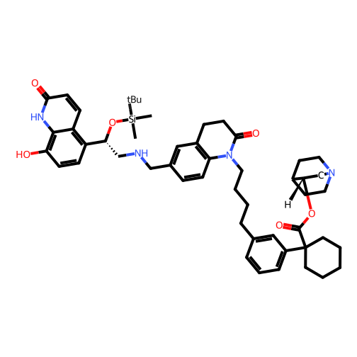 CC(C)(C)[Si](C)(C)O[C@H](CNCc1ccc2c(c1)CCC(=O)N2CCCCc1cccc(C2(C(=O)O[C@H]3CN4CCC3CC4)CCCCC2)c1)c1ccc(O)c2[nH]c(=O)ccc12